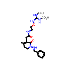 CC1=C(CC(=O)NCCONC(NC(=O)O)NC(=O)O)C(=O)N(NCc2ccccc2)CC1